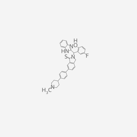 CN1CCC(c2ccc(-c3ccc4c(c3)C(=S)N([C@@H](c3nc5ccccc5[nH]3)c3cc(F)ccc3O)C4)cc2)CC1